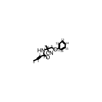 CC#CC(=O)NC(C)(C#N)COc1ccccc1